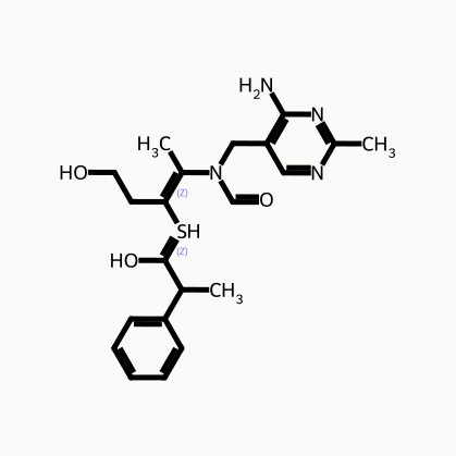 C/C(=C(CCO)/[SH]=C(\O)C(C)c1ccccc1)N(C=O)Cc1cnc(C)nc1N